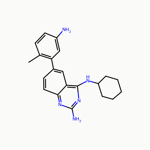 Cc1ccc(N)cc1-c1ccc2nc(N)nc(NC3CCCCC3)c2c1